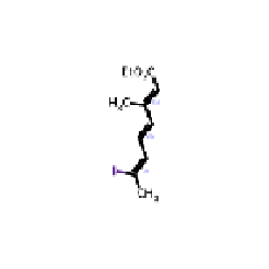 CCOC(=O)/C=C(C)/C=C/C=C(/C)I